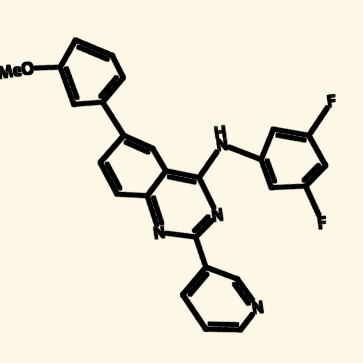 COc1cccc(-c2ccc3nc(-c4cccnc4)nc(Nc4cc(F)cc(F)c4)c3c2)c1